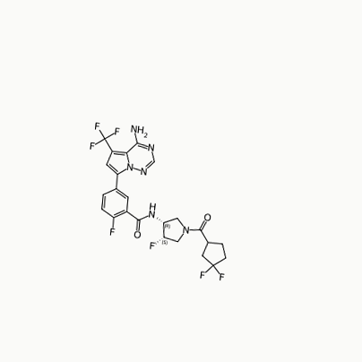 Nc1ncnn2c(-c3ccc(F)c(C(=O)N[C@@H]4CN(C(=O)C5CCC(F)(F)C5)C[C@@H]4F)c3)cc(C(F)(F)F)c12